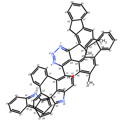 Cc1cc2c(c(-c3nnnc(-c4ccc5c(c4-c4ccccc4-c4ccccc4)-c4c6c(ccc4=N5)=c4ccccc4=N6)c3-c3c(C)c(C)cc4c3Cc3ccccc3-4)c1C)Cc1ccccc1-2